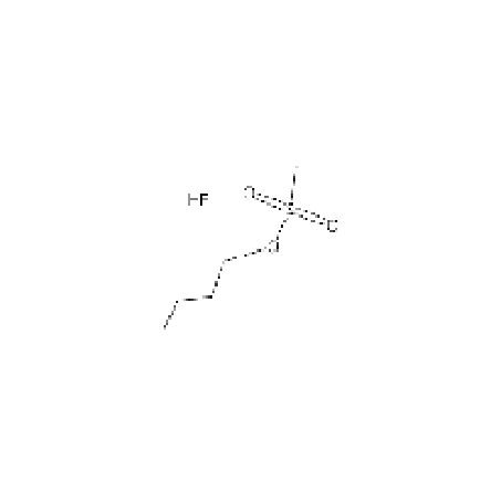 CCCCOS(C)(=O)=O.F